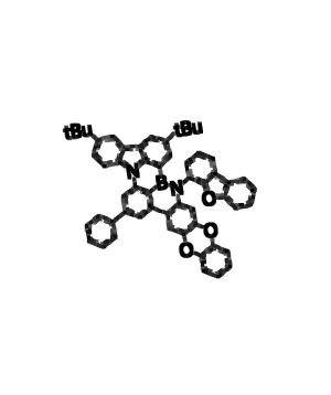 CC(C)(C)c1ccc2c(c1)c1cc(C(C)(C)C)cc3c1n2-c1cc(-c2ccccc2)cc2c1B3N(c1cccc3c1oc1ccccc13)c1cc3c(cc1-2)Oc1ccccc1O3